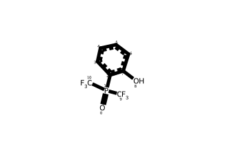 O=P(c1ccccc1O)(C(F)(F)F)C(F)(F)F